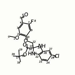 COc1cc(C=O)c(F)cc1OCC1(C(=O)OC(C)(C)C)Nc2ccc(Cl)cc2N1